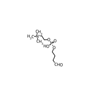 C[N+](C)(C)CCOP(=O)(O)OCCCC=O